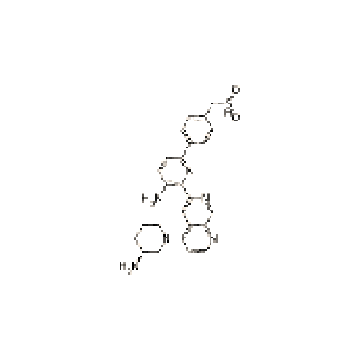 Nc1ccc(-c2ccc(C[SH](=O)=O)cc2)nc1-c1cc2c(N3CCC[C@H](N)C3)ccnc2cn1